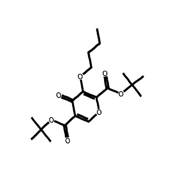 CCCCOc1c(C(=O)OC(C)(C)C)occ(C(=O)OC(C)(C)C)c1=O